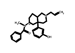 C=CCN1CCC2(c3cccc(O)c3)C[C@@H](N(C)C(=O)c3ccccc3)CCC2C1